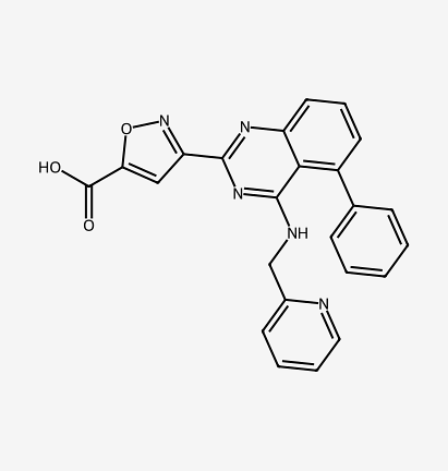 O=C(O)c1cc(-c2nc(NCc3ccccn3)c3c(-c4ccccc4)cccc3n2)no1